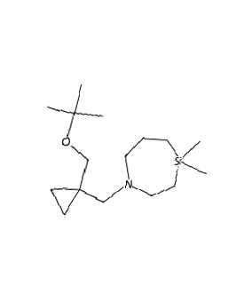 CC(C)(C)OCC1(CN2CCC[Si](C)(C)CC2)CC1